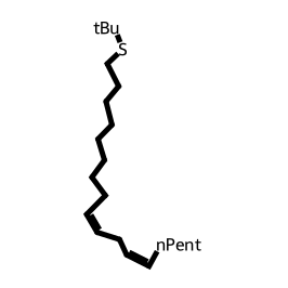 CCCCC/C=C\C/C=C\CCCCCCCCSC(C)(C)C